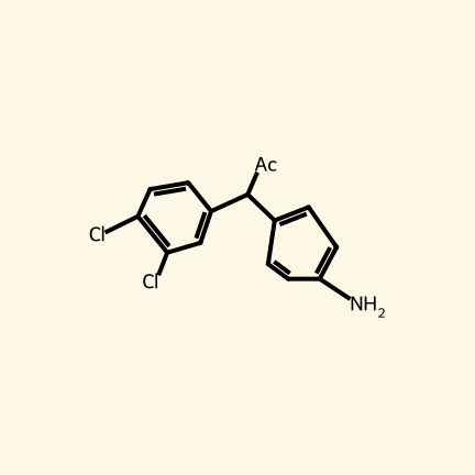 CC(=O)C(c1ccc(N)cc1)c1ccc(Cl)c(Cl)c1